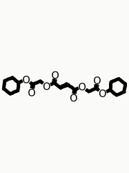 O=C(/C=C/C(=O)OCC(=O)OC1CCCCC1)OCC(=O)OC1CCCCC1